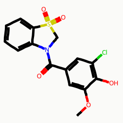 COc1cc(C(=O)N2CS(=O)(=O)c3ccccc32)cc(Cl)c1O